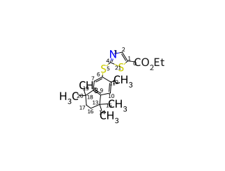 CCOC(=O)c1cnc(Sc2cc3c(cc2C)C(C)(C)CCC3(C)C)s1